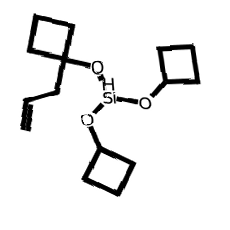 C=CCC1(O[SiH](OC2CCC2)OC2CCC2)CCC1